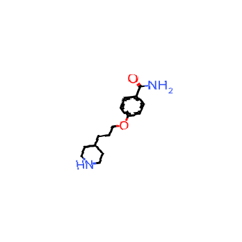 NC(=O)c1ccc(OCCCC2CCNCC2)cc1